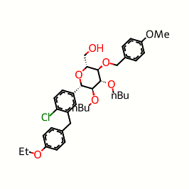 CCCCO[C@@H]1[C@@H](OCCCC)[C@H](c2ccc(Cl)c(Cc3ccc(OCC)cc3)c2)O[C@H](CO)[C@H]1OCc1ccc(OC)cc1